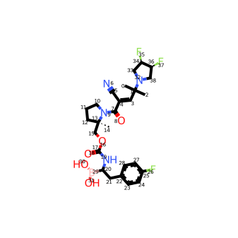 CC(C)(C=C(C#N)C(=O)N1CCC[C@]1(C)COC(=O)NC(Cc1ccc(F)cc1)B(O)O)N1C[C@@H](F)[C@@H](F)C1